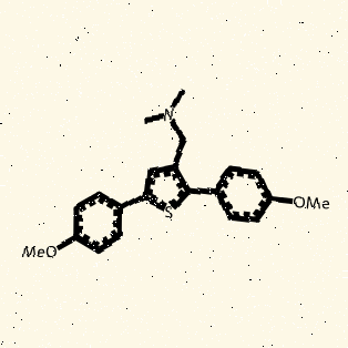 COc1ccc(-c2cc(CN(C)C)c(-c3ccc(OC)cc3)s2)cc1